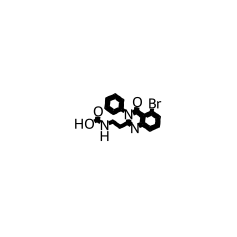 O=C(O)NCCc1nc2cccc(Br)c2c(=O)n1-c1ccccc1